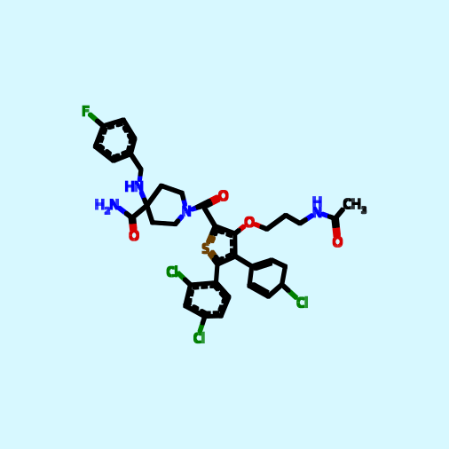 CC(=O)NCCCOc1c(C(=O)N2CCC(NCc3ccc(F)cc3)(C(N)=O)CC2)sc(-c2ccc(Cl)cc2Cl)c1C1=CCC(Cl)C=C1